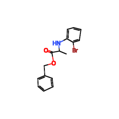 CC(Nc1ccccc1Br)C(=O)OCc1ccccc1